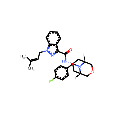 CC(C)=CCn1nc(C(=O)N[C@H]2C[C@H]3COC[C@@H](C2)N3Cc2ccc(F)cc2)c2ccccc21